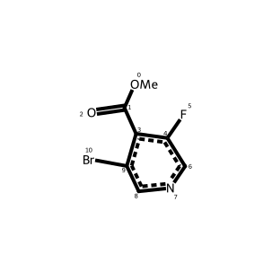 COC(=O)c1c(F)cncc1Br